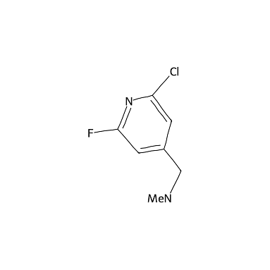 CNCc1cc(F)nc(Cl)c1